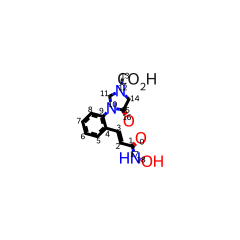 O=C(/C=C/c1ccccc1N1CN(C(=O)O)CC1=O)NO